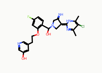 CC1=N/C(=C2\CN(C(O)c3ccc(F)cc3OCCc3cncc(O)c3)CC2=N)NC(C)=C1Cl